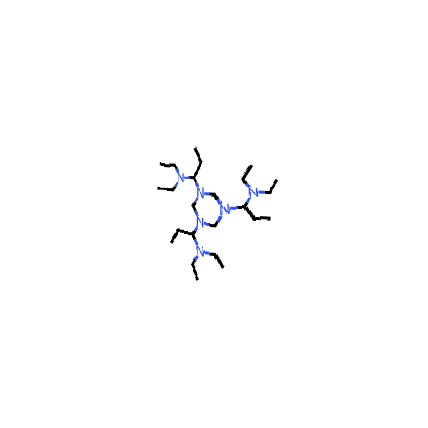 CCC(N(CC)CC)N1CN(C(CC)N(CC)CC)CN(C(CC)N(CC)CC)C1